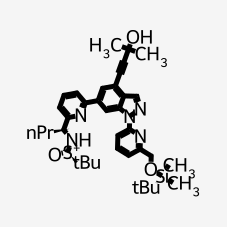 CCC[C@H](N[S@+]([O-])C(C)(C)C)c1cccc(-c2cc(C#CC(C)(C)O)c3cnn(-c4cccc(CO[Si](C)(C)C(C)(C)C)n4)c3c2)n1